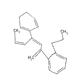 C=C(/C=C(\C=C/C)C1=CCCC=C1)c1ccccc1CCC